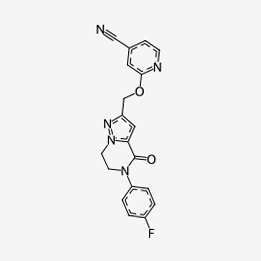 N#Cc1ccnc(OCc2cc3n(n2)CCN(c2ccc(F)cc2)C3=O)c1